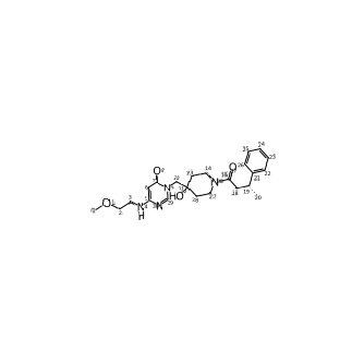 COCCNc1cc(=O)n(CC2(O)CCN(C(=O)C[C@@H](C)c3ccccc3)CC2)cn1